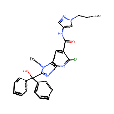 CCn1c(C(O)(c2ccccc2)c2ccccc2)nc2nc(Cl)c(C(=O)Nc3cnn(CCOC)c3)cc21